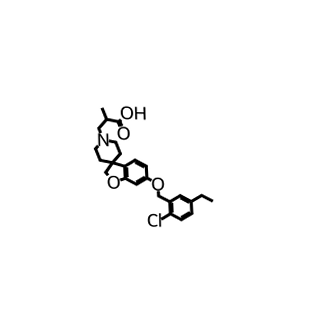 CCc1ccc(Cl)c(COc2ccc3c(c2)OCC32CCN(CC(C)C(=O)O)CC2)c1